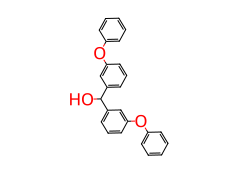 OC(c1cccc(Oc2ccccc2)c1)c1cccc(Oc2ccccc2)c1